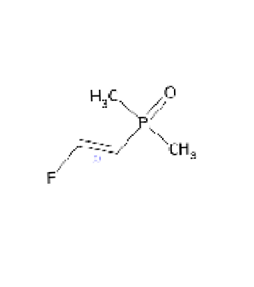 CP(C)(=O)/C=C/F